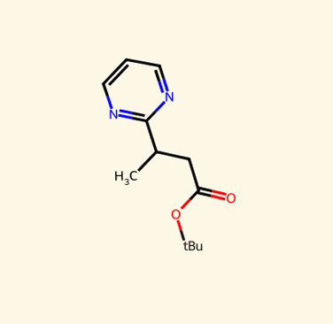 CC(CC(=O)OC(C)(C)C)c1ncccn1